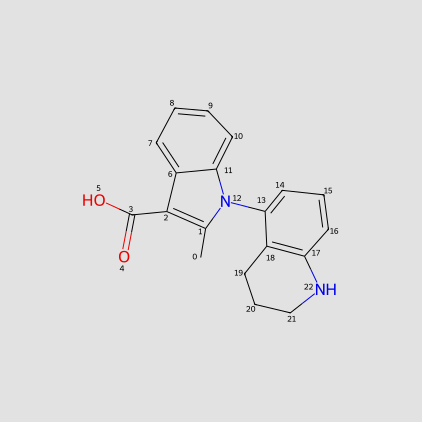 Cc1c(C(=O)O)c2ccccc2n1-c1cccc2c1CCCN2